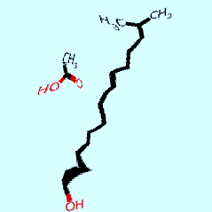 CC(=O)O.CC(C)CCCCCCCCCCC=CO